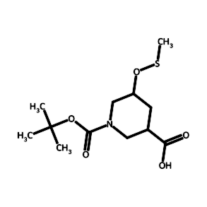 CSOC1CC(C(=O)O)CN(C(=O)OC(C)(C)C)C1